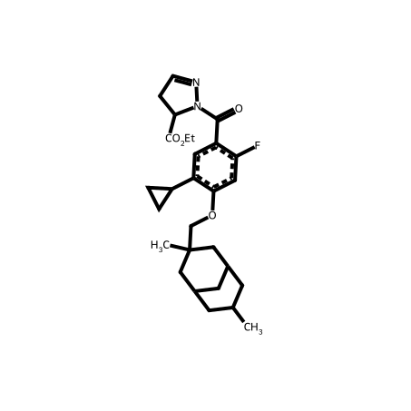 CCOC(=O)C1CC=NN1C(=O)c1cc(C2CC2)c(OCC2(C)CC3CC(C)CC(C3)C2)cc1F